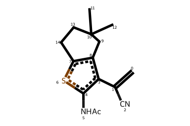 C=C(C#N)c1c(NC(C)=O)sc2c1CC(C)(C)CC2